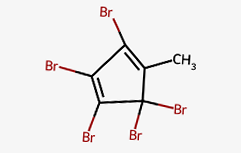 CC1=C(Br)C(Br)=C(Br)C1(Br)Br